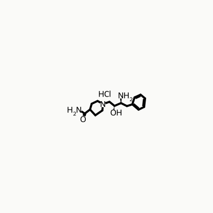 Cl.NC(=O)C1CCN(C[C@@H](O)[C@@H](N)Cc2ccccc2)CC1